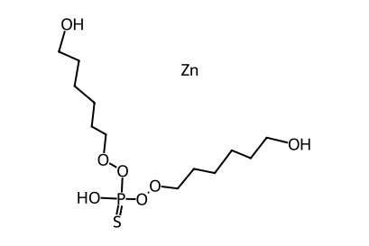 OCCCCCCOOP(O)(=S)OOCCCCCCO.[Zn]